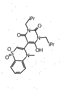 CC(C)Cn1c(O)c(C2=CS(=O)(=O)c3ccccc3N2C)c(=O)n(CC(C)C)c1=O